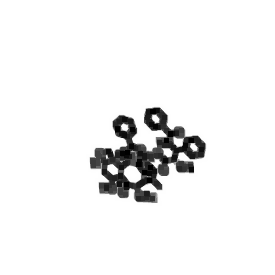 CC(=O)OC1C(=O)[C@@]2(C)C([C@H](OC(=O)c3ccccc3)[C@]3(O)C[C@H](OC(=O)[C@@H](O)[C@@H](NC(=O)c4ccccc4)c4ccccc4)C(C)=C1C3(C)C)[C@]1(OC(C)=O)CO[C@@H]1C[C@@H]2O